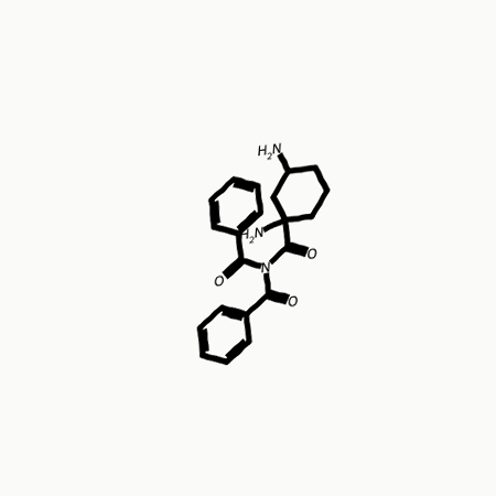 NC1CCCC(N)(C(=O)N(C(=O)c2ccccc2)C(=O)c2ccccc2)C1